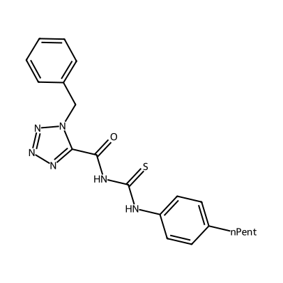 CCCCCc1ccc(NC(=S)NC(=O)c2nnnn2Cc2ccccc2)cc1